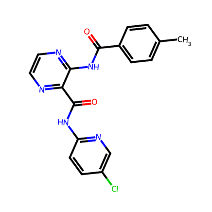 Cc1ccc(C(=O)Nc2nccnc2C(=O)Nc2ccc(Cl)cn2)cc1